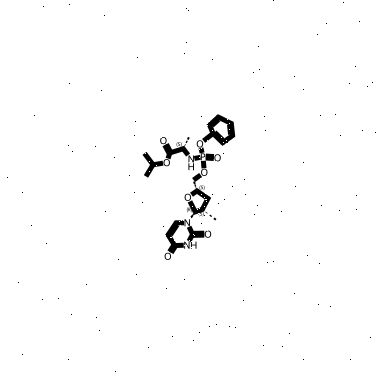 CC(C)OC(=O)[C@H](C)NP(=O)(OC[C@@H]1C[C@H](C)[C@H](n2ccc(=O)[nH]c2=O)O1)Oc1ccccc1